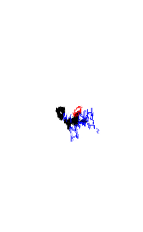 Cc1ccc(NCC2CNc3nc(N)[nH]c(=O)c3C2)cc1